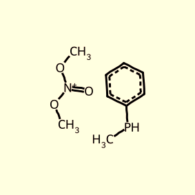 CO[N+](=O)OC.CPc1ccccc1